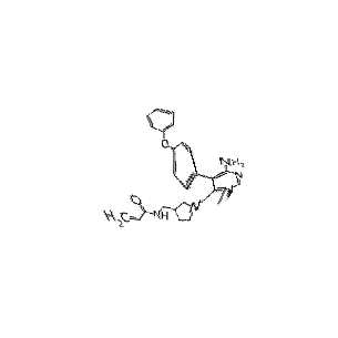 C=CC(=O)NCC1CCN(c2ncnc(N)c2-c2ccc(Oc3ccccc3)cc2)C1